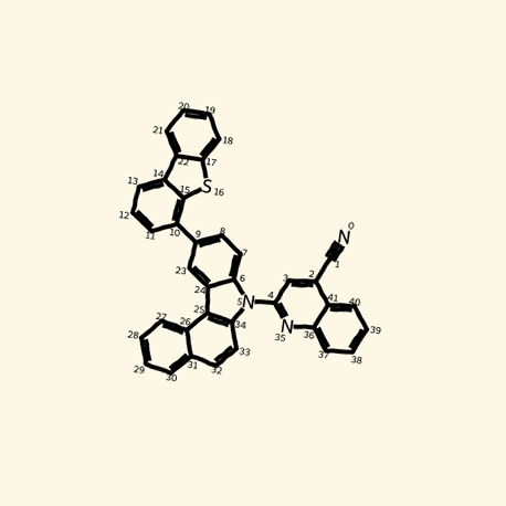 N#Cc1cc(-n2c3ccc(-c4cccc5c4sc4ccccc45)cc3c3c4ccccc4ccc32)nc2ccccc12